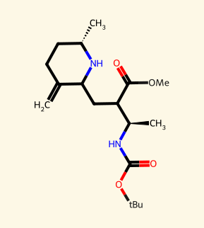 C=C1CC[C@H](C)NC1CC(C(=O)OC)[C@@H](C)NC(=O)OC(C)(C)C